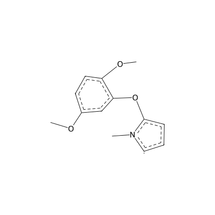 COc1ccc(OC)c(Oc2cc[c]n2C)c1